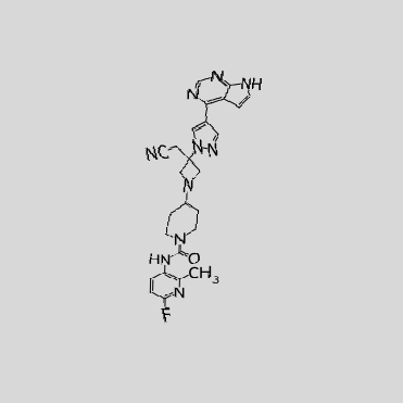 Cc1nc(F)ccc1NC(=O)N1CCC(N2CC(CC#N)(n3cc(-c4ncnc5[nH]ccc45)cn3)C2)CC1